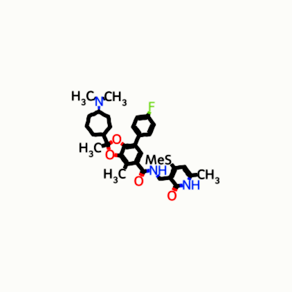 CSc1cc(C)[nH]c(=O)c1CNC(=O)c1cc(-c2ccc(F)cc2)c2c(c1C)OC(C)(C1CCC[C@@H](N(C)C)CC1)O2